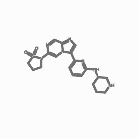 O=S1(=O)CCCN1c1cn2c(-c3cccc(N[C@@H]4CCCNC4)n3)cnc2cn1